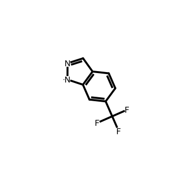 FC(F)(F)c1ccc2c(c1)[N]N=C2